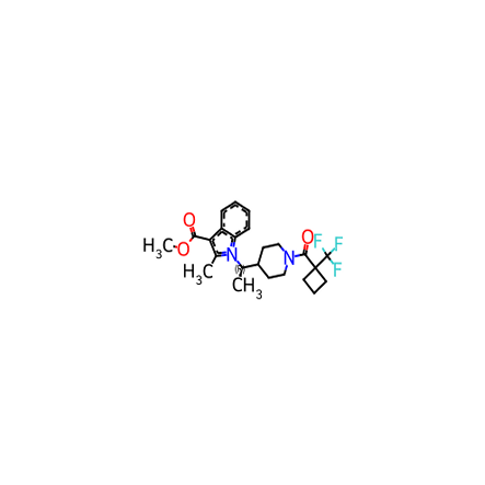 COC(=O)c1c(C)n([C@H](C)C2CCN(C(=O)C3(C(F)(F)F)CCC3)CC2)c2ccccc12